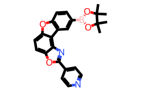 CC1(C)OB(c2ccc3oc4ccc5oc(-c6ccncc6)nc5c4c3c2)OC1(C)C